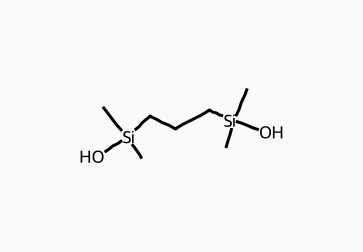 C[Si](C)(O)CCC[Si](C)(C)O